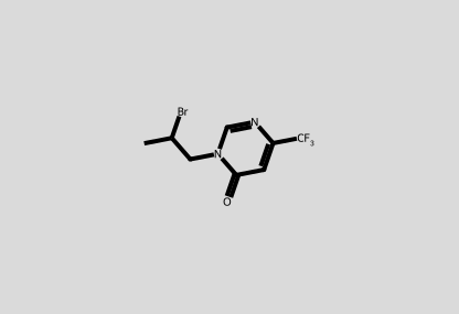 CC(Br)Cn1cnc(C(F)(F)F)cc1=O